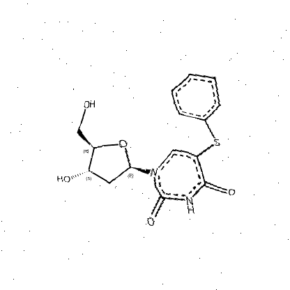 O=c1[nH]c(=O)n([C@H]2C[C@H](O)[C@@H](CO)O2)cc1Sc1ccccc1